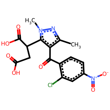 Cc1nn(C)c(C(CC(=O)O)C(=O)O)c1C(=O)c1ccc([N+](=O)[O-])cc1Cl